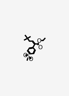 CCOC(=O)/C(=C/CC(C)(C)C)c1ccc(S(C)(=O)=O)cc1